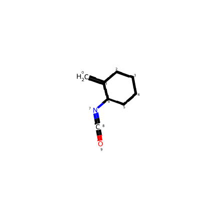 C=C1CCCCC1N=C=O